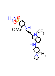 COc1cc(S(N)(=O)=O)ccc1NCC#Cc1cc2c(NC3CCC(C)(N4CCCC4)CC3)cccc2n1CC(F)(F)F